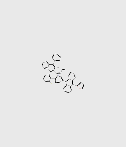 C=C/C=C\c1c(C)c(-c2ccccc2)c2ccccc2c1-c1cccc2sc3cc(-c4c5ccccc5c(-c5ccco5)c5ccccc45)ccc3c12